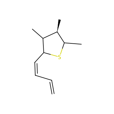 C=C/C=C\C1SC(C)[C@H](C)C1C